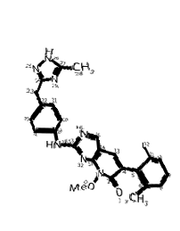 COn1c(=O)c(-c2c(C)cccc2I)cc2cnc(Nc3ccc(Cc4n[nH]c(C)n4)cc3)nc21